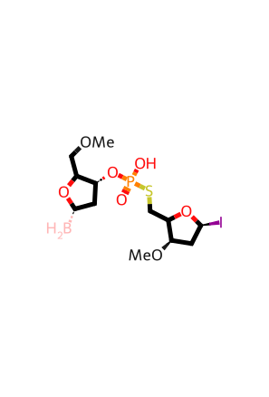 B[C@H]1C[C@@H](OP(=O)(O)SCC2O[C@@H](I)C[C@H]2OC)C(COC)O1